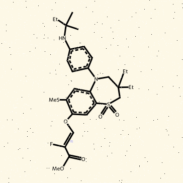 CCC1(CC)CN(c2ccc(NC(C)(C)CC)cc2)c2cc(SC)c(O/C=C(\F)C(=O)OC)cc2S(=O)(=O)C1